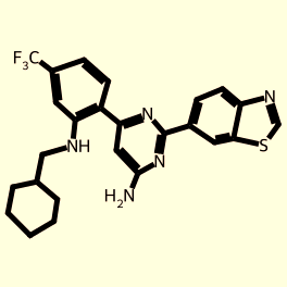 Nc1cc(-c2ccc(C(F)(F)F)cc2NCC2CCCCC2)nc(-c2ccc3ncsc3c2)n1